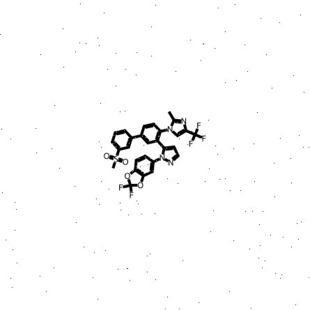 Cc1nc(C(F)(F)F)cn1-c1ccc(-c2cccc(S(C)(=O)=O)c2)cc1-c1ccnn1-c1ccc2c(c1)OC(F)(F)O2